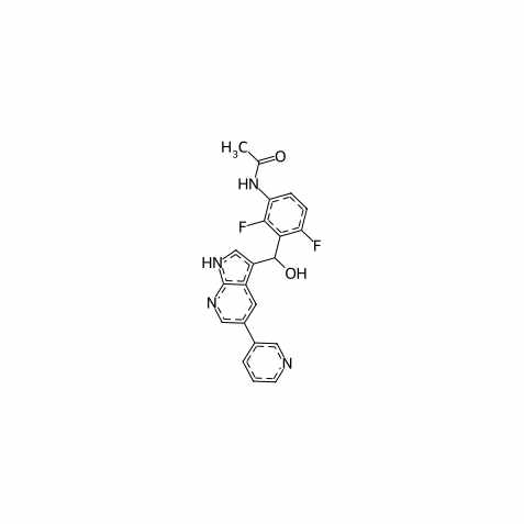 CC(=O)Nc1ccc(F)c(C(O)c2c[nH]c3ncc(-c4cccnc4)cc23)c1F